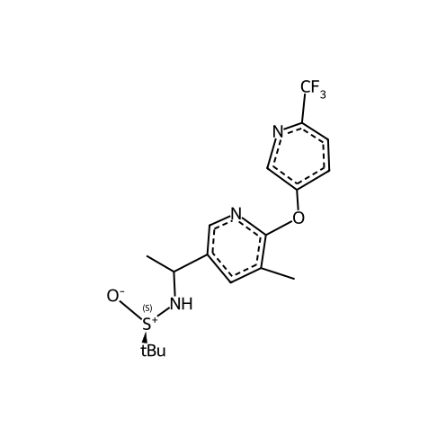 Cc1cc(C(C)N[S@+]([O-])C(C)(C)C)cnc1Oc1ccc(C(F)(F)F)nc1